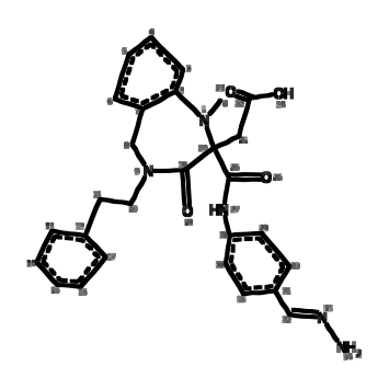 CN1c2ccccc2CN(CCc2ccccc2)C(=O)C1(CC(=O)O)C(=O)Nc1ccc(C=NN)cc1